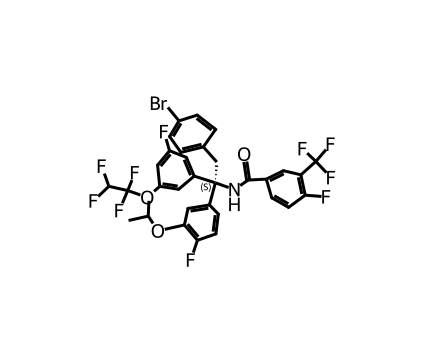 CC(C)Oc1cc([C@](Cc2ccc(Br)cc2)(NC(=O)c2ccc(F)c(C(F)(F)F)c2)c2cc(F)cc(OC(F)(F)C(F)F)c2)ccc1F